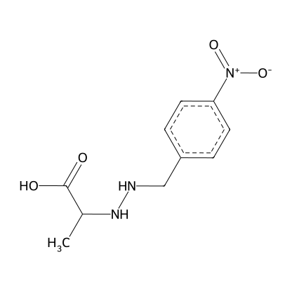 CC(NNCc1ccc([N+](=O)[O-])cc1)C(=O)O